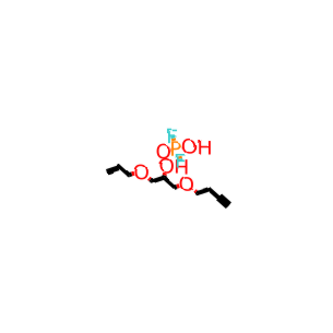 C#CCCOCC(O)COCC=C.O=P(O)(F)F